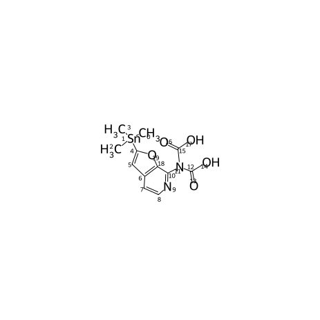 [CH3][Sn]([CH3])([CH3])[c]1cc2ccnc(N(C(=O)O)C(=O)O)c2o1